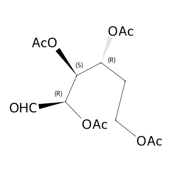 CC(=O)OCC[C@@H](OC(C)=O)[C@H](OC(C)=O)[C@H](C=O)OC(C)=O